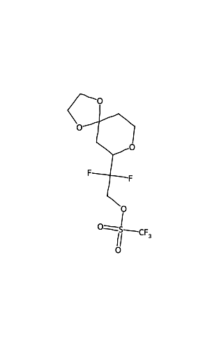 O=S(=O)(OCC(F)(F)C1CC2(CCO1)OCCO2)C(F)(F)F